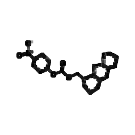 O=C(OCc1cccc2cc3ccccc3cc12)Oc1ccc([N+](=O)[O-])cc1